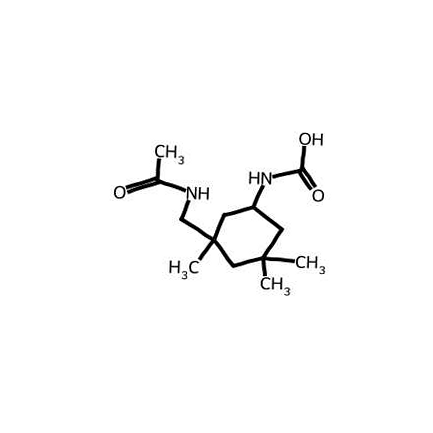 CC(=O)NCC1(C)CC(NC(=O)O)CC(C)(C)C1